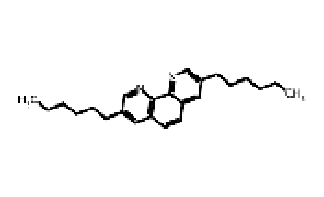 CCCCCCc1cnc2c(ccc3cc(CCCCCC)cnc32)c1